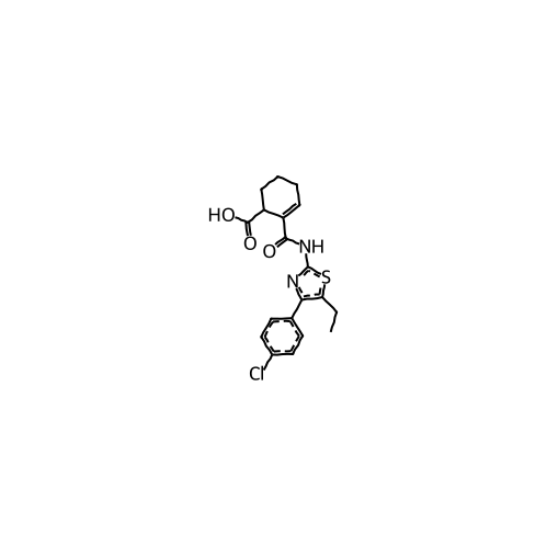 CCc1sc(NC(=O)C2=CCCCC2C(=O)O)nc1-c1ccc(Cl)cc1